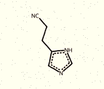 N#CCCc1cnc[nH]1